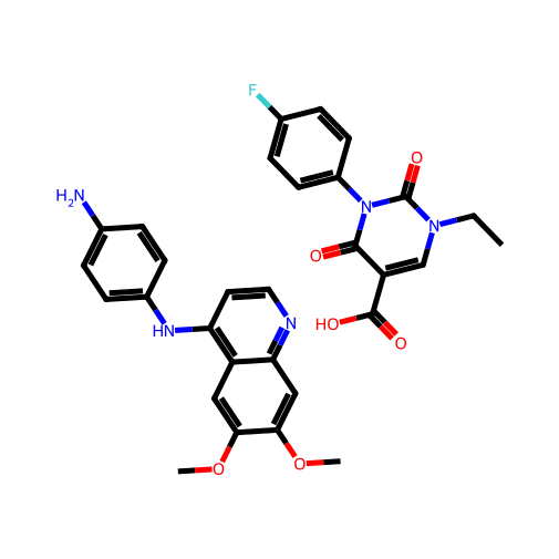 CCn1cc(C(=O)O)c(=O)n(-c2ccc(F)cc2)c1=O.COc1cc2nccc(Nc3ccc(N)cc3)c2cc1OC